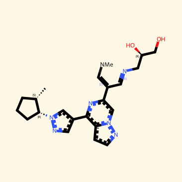 CN/C=C(\C=N\C[C@@H](O)CO)c1cn2nccc2c(-c2cnn([C@@H]3CCC[C@@H]3C)c2)n1